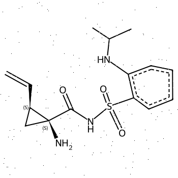 C=C[C@@H]1C[C@@]1(N)C(=O)NS(=O)(=O)c1ccccc1NC(C)C